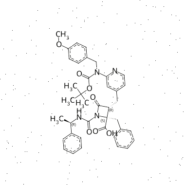 COc1ccc(CN(C(=O)OC(C)(C)C)c2cc(C[C@H]3C(=O)N(C(=O)N[C@H](C)c4ccccc4)[C@]3(Cc3ccccc3)C(=O)O)ccn2)cc1